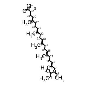 CCC(=O)N(CC)C/C(C)=C/CC/C(C)=C/CC/C(C)=C/CC/C(C)=C/CC/C(C)=C/CCC(C)=O